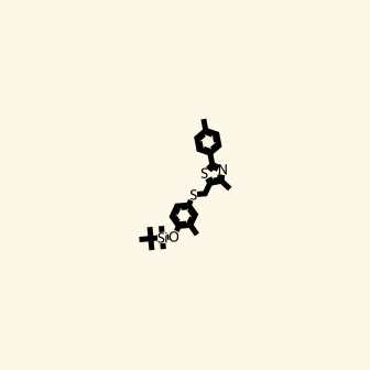 Cc1ccc(-c2nc(C)c(CSc3ccc(O[Si](C)(C)C(C)(C)C)c(C)c3)s2)cc1